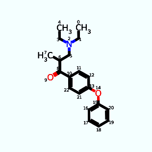 CCN(CC)CC(C)C(=O)c1ccc(Oc2ccccc2)cc1